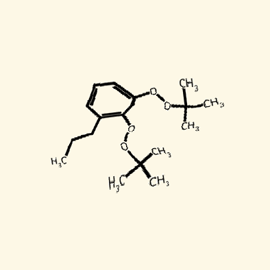 CCCc1cccc(OOC(C)(C)C)c1OOC(C)(C)C